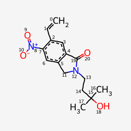 C=Cc1cc2c(cc1[N+](=O)[O-])CN(CCC(C)(C)O)C2=O